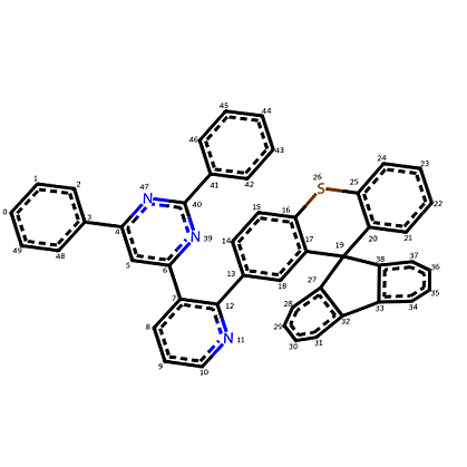 c1ccc(-c2cc(-c3cccnc3-c3ccc4c(c3)C3(c5ccccc5S4)c4ccccc4-c4ccccc43)nc(-c3ccccc3)n2)cc1